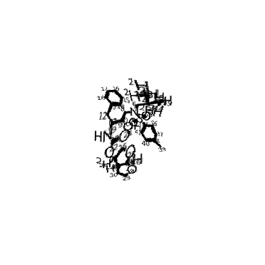 [2H]C([2H])([2H])C([2H])(CN(C[C@@H](O)[C@H](Cc1ccccc1)NC(=O)O[C@@]1([2H])CO[C@H]2OCC[C@H]21)S(=O)(=O)c1ccc(C)cc1)C([2H])([2H])[2H]